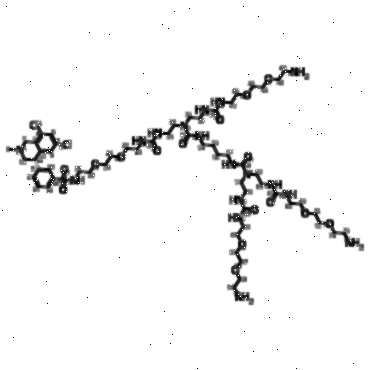 CN1Cc2c(Cl)cc(Cl)cc2[C@H](c2cccc(S(=O)(=O)NCCOCCOCCNC(=O)NCCN(CCNC(=O)NCCOCCOCCN)C(=O)NCCCCNC(=O)N(CCNC(=O)NCCOCCOCCN)CCNC(=O)NCCOCCOCCN)c2)C1